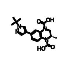 C[C@H]1CN(C(=O)O)c2cc(-c3cnn(C(C)(C)C)c3)ccc2N1C(=O)O